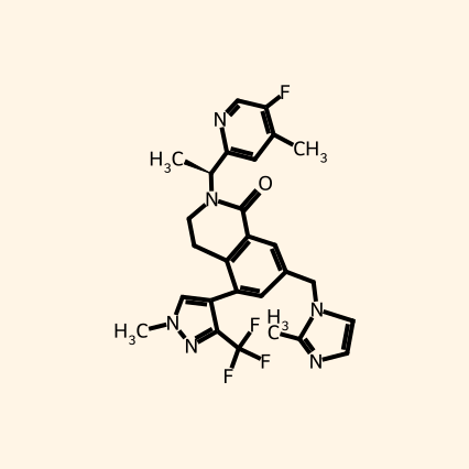 Cc1cc([C@H](C)N2CCc3c(cc(Cn4ccnc4C)cc3-c3cn(C)nc3C(F)(F)F)C2=O)ncc1F